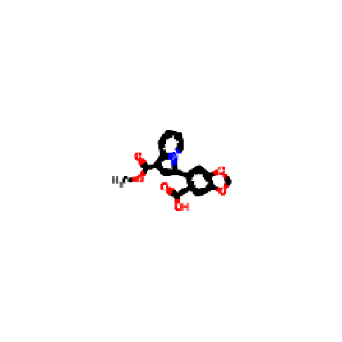 COC(=O)c1cc(-c2cc3c(cc2C(=O)O)OCO3)n2ccccc12